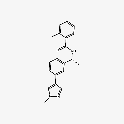 Cc1ccccc1C(=O)N[C@H](C)c1cccc(-c2cnn(C)c2)c1